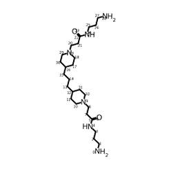 NCCCNC(=O)CCN1CCC(CCCC2CCN(CCC(=O)NCCCN)CC2)CC1